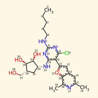 CCCCCNc1nc(Cl)c(-c2cc3cc(C)nc(C)c3o2)c(N[C@@H]2C[C@H](CO)[C@@H](O)[C@H]2O)n1